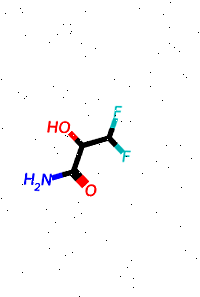 NC(=O)C(O)C(F)F